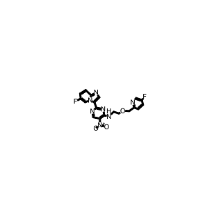 O=[N+]([O-])c1cnc(-c2cnc3ccc(F)cn23)nc1NCCOCc1ccc(F)cn1